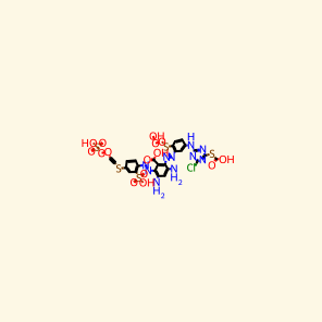 Nc1cc(N)c(N=Nc2ccc(SC#COOS(=O)(=O)O)cc2S(=O)(=O)O)c(C(=O)O)c1N=Nc1cc(Nc2nc(Cl)nc(SC(=O)O)n2)ccc1SOOO